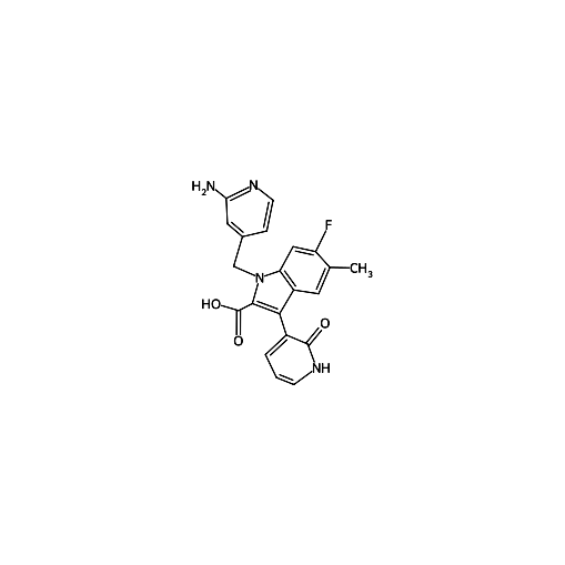 Cc1cc2c(-c3ccc[nH]c3=O)c(C(=O)O)n(Cc3ccnc(N)c3)c2cc1F